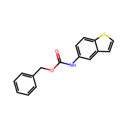 O=C(Nc1ccc2sccc2c1)OCc1ccccc1